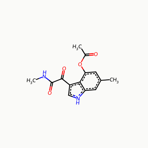 CNC(=O)C(=O)c1c[nH]c2cc(C)cc(OC(C)=O)c12